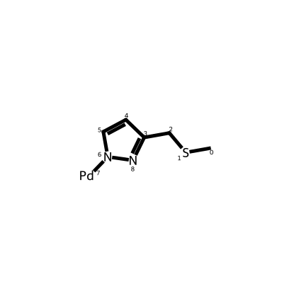 CSCc1cc[n]([Pd])n1